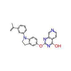 C=C(C)c1cccc(N2CCc3cc(Oc4nc(O)c5ccncc5n4)ccc32)c1